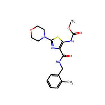 CC(C)(C)OC(=O)Nc1sc(N2CCOCC2)nc1C(=O)NCc1ccccc1C(F)(F)F